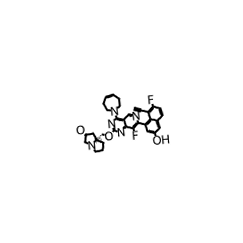 C#Cc1c(F)ccc2cc(O)cc(-c3ncc4c(N5CCC=CCC5)nc(OC[C@]56CCCN5CC(=O)C6)nc4c3F)c12